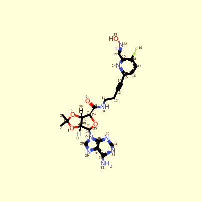 CC1(C)O[C@@H]2[C@H](O1)[C@@H](C(=O)NCCC#Cc1ccc(F)c(/C=N/O)n1)O[C@H]2n1cnc2c(N)ncnc21